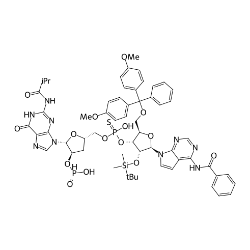 COc1ccc(C(OC[C@H]2O[C@@H](n3ccc4c(NC(=O)c5ccccc5)ncnc43)[C@H](O[Si](C)(C)C(C)(C)C)[C@@H]2OP(O)(=S)OC[C@@H]2C[C@@H](O[PH](=O)O)[C@H](n3cnc4c(=O)[nH]c(NC(=O)C(C)C)nc43)O2)(c2ccccc2)c2ccc(OC)cc2)cc1